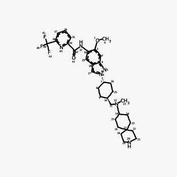 COc1cc2nn([C@H]3CC[C@H](CN(C)C4CCC5(CCNCC5)CC4)CC3)cc2cc1NC(=O)c1cccc(C(F)(F)F)n1